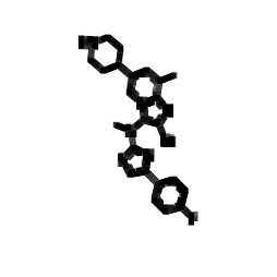 CCc1nc2c(C)cc(C3CCNCC3)cn2c1N(C)c1nc(-c2ccc(F)cc2)cs1